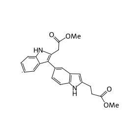 COC(=O)CCc1cc2cc(-c3c(CC(=O)OC)[nH]c4cc[c]cc34)ccc2[nH]1